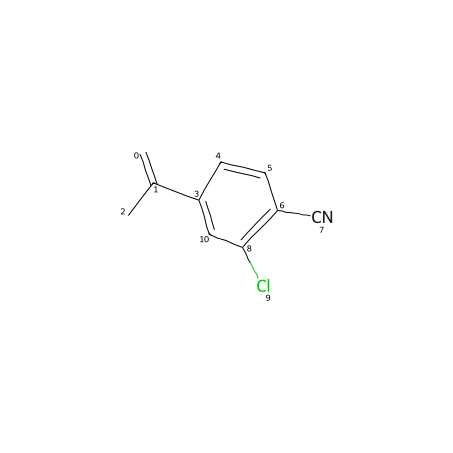 C=C(C)c1ccc(C#N)c(Cl)c1